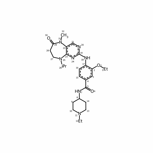 CCOc1cc(C(=O)NC2CCN(CC)CC2)ccc1Nc1ncc2c(n1)N(C(C)C)CCC(=O)N2C